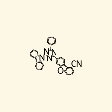 N#Cc1cccc2oc3cc(-c4nc(-c5ccccc5)nc(-n5c6ccccc6c6ccccc65)n4)ccc3c12